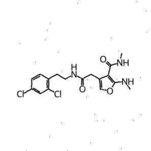 CNC(=O)c1c(CC(=O)NCCc2ccc(Cl)cc2Cl)coc1NC